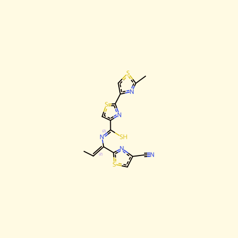 C/C=C(\N=C(/S)c1csc(-c2csc(C)n2)n1)c1nc(C#N)cs1